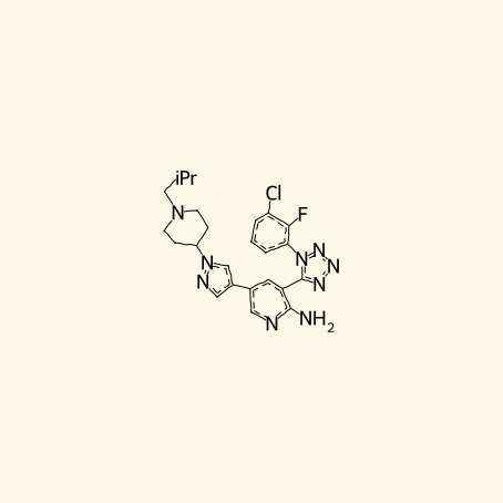 CC(C)CN1CCC(n2cc(-c3cnc(N)c(-c4nnnn4-c4cccc(Cl)c4F)c3)cn2)CC1